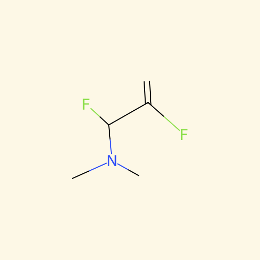 C=C(F)C(F)N(C)C